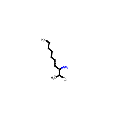 CCCCCCCC(N)C(C)C